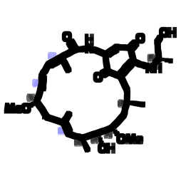 CO[C@H]1C[C@H](C)CC2=C(N[C@@H](C)CO)C(=O)C=C(NC(=O)/C(C)=C/C=C\[C@@H](OC)[CH]/C(C)=C/[C@H](C)[C@H]1O)C2=O